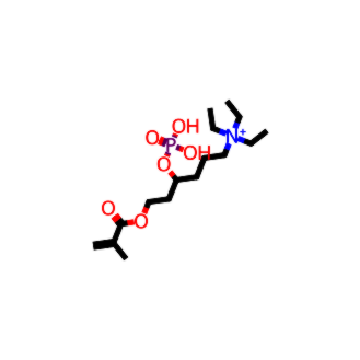 C=C(C)C(=O)OCCC(CCC[N+](CC)(CC)CC)OP(=O)(O)O